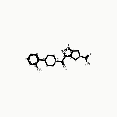 CC(C)C(=O)N1Cc2[nH]nc(C(=O)N3CCC(c4ccccc4C(F)(F)F)CC3)c2C1